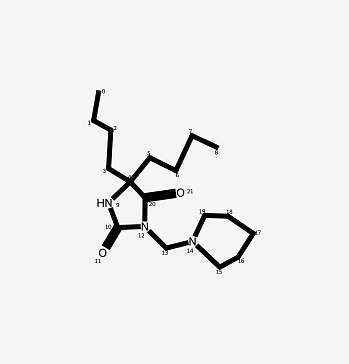 CCCCC1(CCCC)NC(=O)N(CN2CCCCC2)C1=O